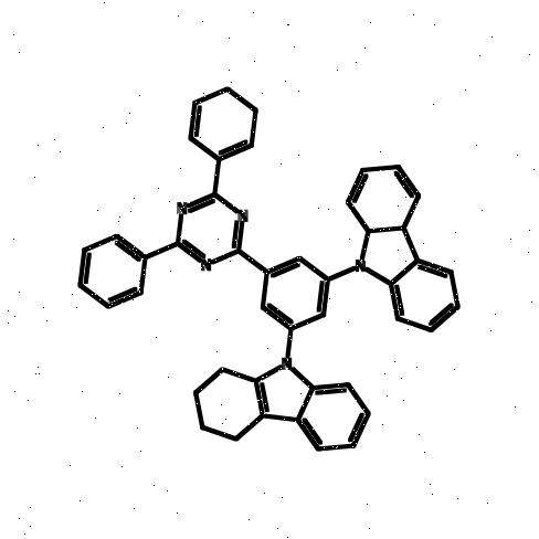 C1=CC2c3ccccc3N(c3cc(-c4nc(C5=CCCC=C5)nc(-c5ccccc5)n4)cc(-n4c5c(c6ccccc64)CCCC5)c3)C2C=C1